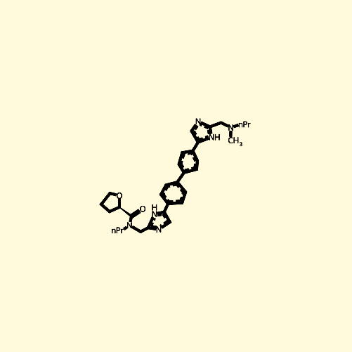 CCCN(C)Cc1ncc(-c2ccc(-c3ccc(-c4cnc(CN(CCC)C(=O)[C@H]5CCCO5)[nH]4)cc3)cc2)[nH]1